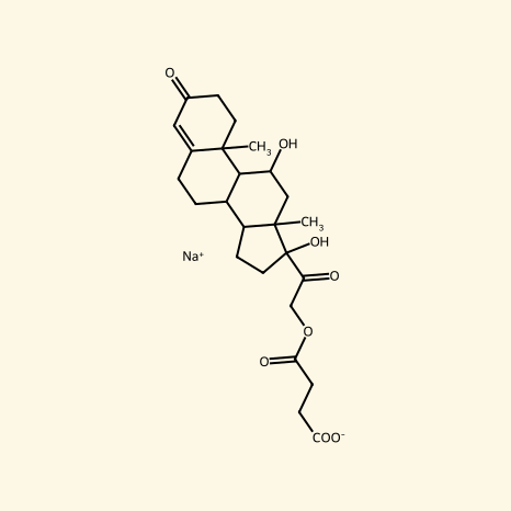 CC12CCC(=O)C=C1CCC1C2C(O)CC2(C)C1CCC2(O)C(=O)COC(=O)CCC(=O)[O-].[Na+]